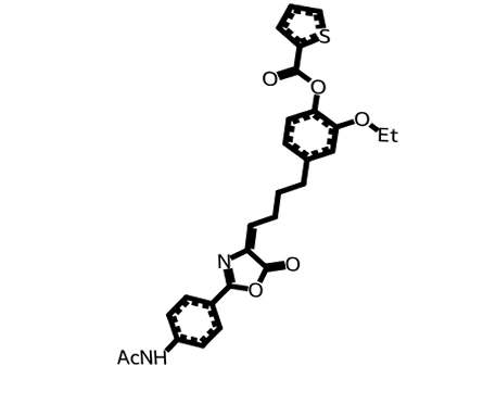 CCOc1cc(CCC/C=C2/N=C(c3ccc(NC(C)=O)cc3)OC2=O)ccc1OC(=O)c1cccs1